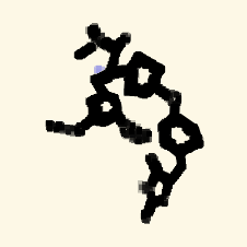 COc1cc(/C=C(/C(=O)N(C)C)c2ccc(Oc3ccc(CC4SC(=O)NC4=O)cc3)cc2)cc(OC)c1